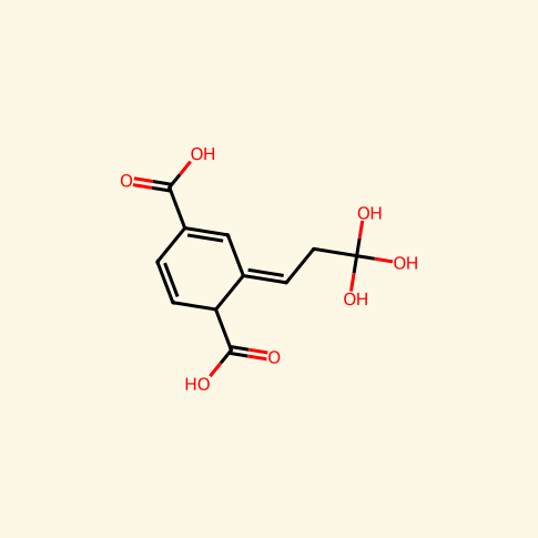 O=C(O)C1=CC(=CCC(O)(O)O)C(C(=O)O)C=C1